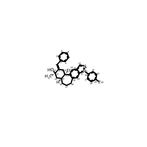 CC[C@@]12C/C(=C\c3ccccc3)[C@](C)(O)C[C@@H]1CCCc1cc3c(cnn3-c3ccc(F)cc3)cc12